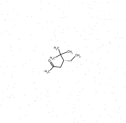 CC[C@H](CC(C)=O)C(C)(C)C